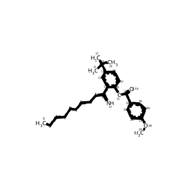 CCCCCCCCCC(=N)c1cc(C(C)(C)C)ccc1OC(=O)c1ccc(OC)cc1